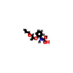 C=CCOCC(C)Oc1ccccc1N(C)C(=O)O